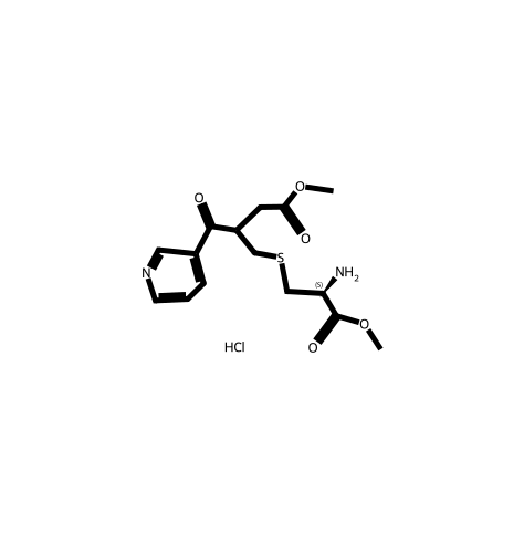 COC(=O)CC(CSC[C@@H](N)C(=O)OC)C(=O)c1cccnc1.Cl